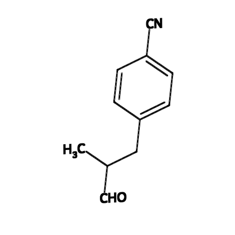 CC(C=O)Cc1ccc(C#N)cc1